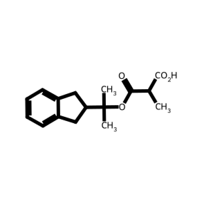 CC(C(=O)O)C(=O)OC(C)(C)C1Cc2ccccc2C1